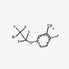 Fc1ccc(OC(F)(F)C(F)(F)Br)cc1C(F)(F)F